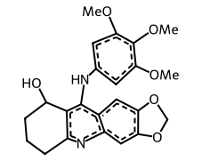 COc1cc(Nc2c3c(nc4cc5c(cc24)OCO5)CCCC3O)cc(OC)c1OC